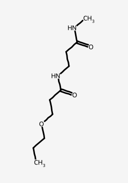 CCCOCCC(=O)NCCC(=O)NC